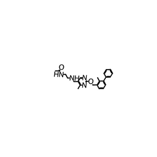 CC(=O)NCCNCc1cnc(OCc2cccc(-c3ccccc3)c2C)nc1C